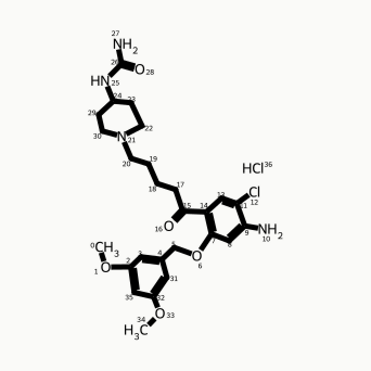 COc1cc(COc2cc(N)c(Cl)cc2C(=O)CCCCN2CCC(NC(N)=O)CC2)cc(OC)c1.Cl